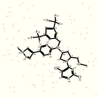 COCC1C[C@H](N(Cc2cc(C(F)(F)F)cc(C(F)(F)F)c2)c2ncc(-c3cnn(C)c3)cn2)CN1c1nc(Cl)ncc1Cl